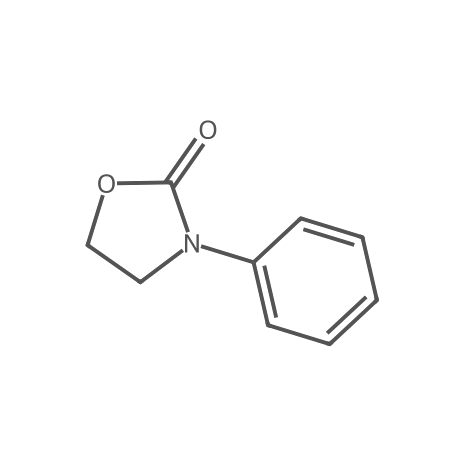 O=C1OCCN1c1ccccc1